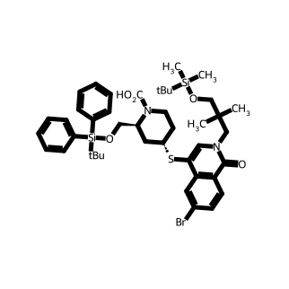 CC(C)(CO[Si](C)(C)C(C)(C)C)Cn1cc(S[C@H]2CCN(C(=O)O)[C@H](CO[Si](c3ccccc3)(c3ccccc3)C(C)(C)C)C2)c2cc(Br)ccc2c1=O